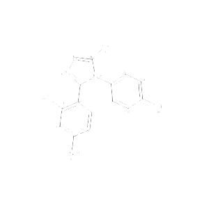 O=Nc1ccc(-c2nnc(S)n2-c2ccc(Cl)cc2)c(O)c1